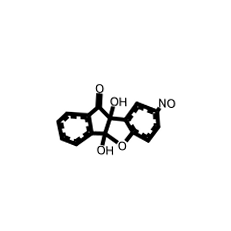 O=Nc1ccc2c(c1)C1(O)C(=O)c3ccccc3C1(O)O2